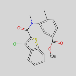 Cc1ccc(C(=O)OC(C)(C)C)cc1N(C)C(=O)c1sc2ccccc2c1Cl